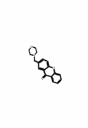 S=c1c2ccccc2oc2ccc(CN3CCOCC3)cc12